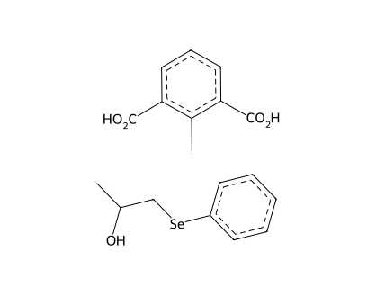 CC(O)C[Se]c1ccccc1.Cc1c(C(=O)O)cccc1C(=O)O